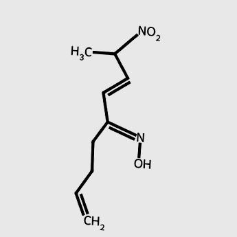 C=CCCC(C=CC(C)[N+](=O)[O-])=NO